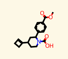 COC(=O)c1ccc(C2CC(C3=CCC3)CCN2C(=O)O)cc1